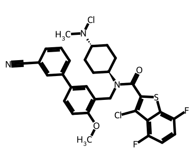 COc1ccc(-c2cccc(C#N)c2)cc1CN(C(=O)c1sc2c(F)ccc(F)c2c1Cl)[C@H]1CC[C@H](N(C)Cl)CC1